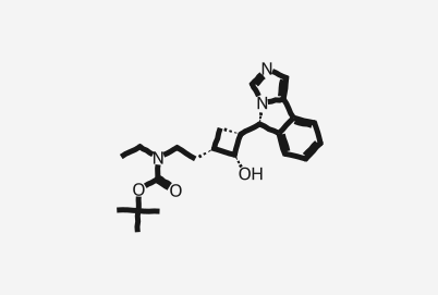 CCN(CC[C@@H]1C[C@H]([C@H]2c3ccccc3-c3cncn32)[C@@H]1O)C(=O)OC(C)(C)C